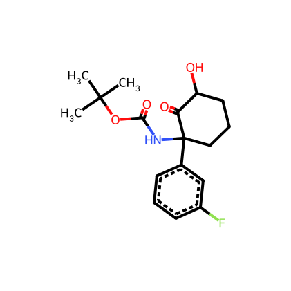 CC(C)(C)OC(=O)NC1(c2cccc(F)c2)CCCC(O)C1=O